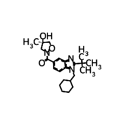 CC(C)(C)c1nc2cc(C(=O)N3C[C@@](C)(O)CO3)ccc2n1CC1CCCCC1